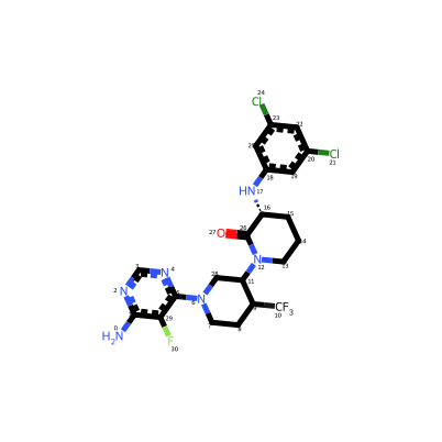 Nc1ncnc(N2CCC(C(F)(F)F)C(N3CCC[C@@H](Nc4cc(Cl)cc(Cl)c4)C3=O)C2)c1F